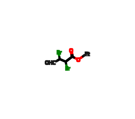 CCOC(=O)C(Br)C(Br)C=O